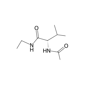 CCNC(=O)[C@@H](NC(C)=O)C(C)C